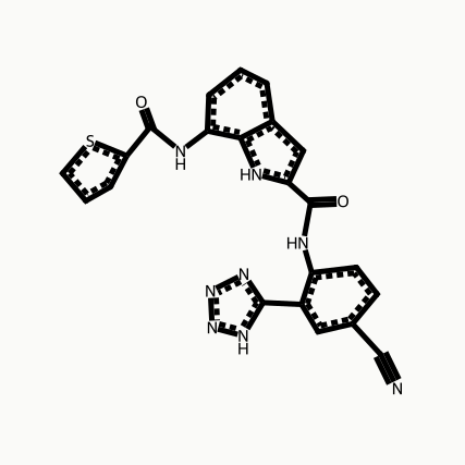 N#Cc1ccc(NC(=O)c2cc3cccc(NC(=O)c4cccs4)c3[nH]2)c(-c2nnn[nH]2)c1